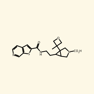 CC1(C23CN(C(=O)O)CC2C3CCNC(=O)c2cc3ccncc3s2)COC1